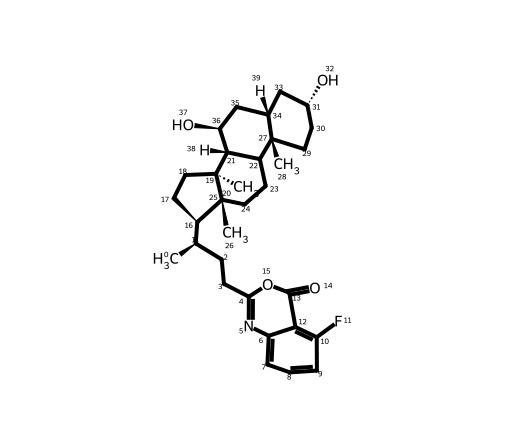 C[C@H](CCc1nc2cccc(F)c2c(=O)o1)[C@H]1CC[C@@]2(C)[C@H]3C(CC[C@]12C)[C@@]1(C)CC[C@@H](O)C[C@H]1C[C@@H]3O